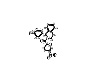 O=C([C@@H]1CCC([N+](=O)[O-])=CO1)N1CCc2ccccc2[C@@H]1c1ccc(F)cc1